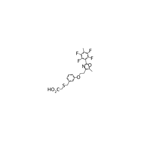 Cc1oc(-c2c(F)c(F)c(C)c(F)c2F)nc1CCOc1cccc(CSCC(=O)O)c1